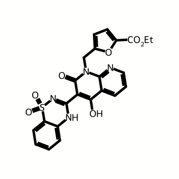 CCOC(=O)c1ccc(Cn2c(=O)c(C3=NS(=O)(=O)c4ccccc4N3)c(O)c3cccnc32)o1